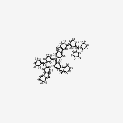 c1ccc(N(c2ccccc2)c2cccc(-c3ccc4sc5cc(N(c6cccc(N(c7ccccc7)c7ccc8sc9ccccc9c8c7)c6)c6ccc7sc8ccccc8c7c6)ccc5c4c3)c2)cc1